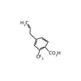 C=CCc1ccc(C(=O)O)c(C(F)(F)F)c1